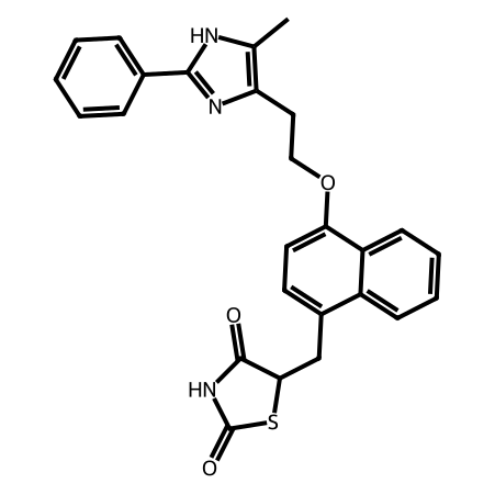 Cc1[nH]c(-c2ccccc2)nc1CCOc1ccc(CC2SC(=O)NC2=O)c2ccccc12